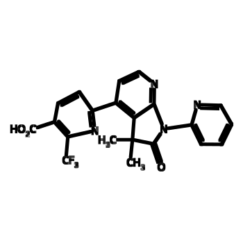 CC1(C)C(=O)N(c2ccccn2)c2nccc(-c3ccc(C(=O)O)c(C(F)(F)F)n3)c21